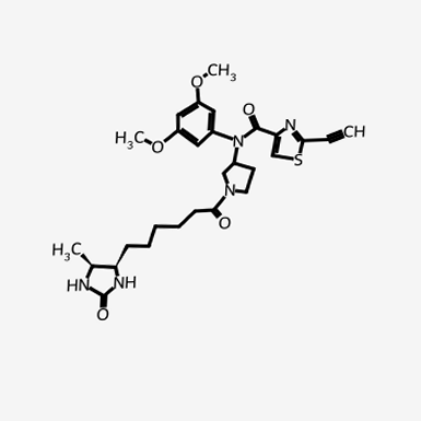 C#Cc1nc(C(=O)N(c2cc(OC)cc(OC)c2)C2CCN(C(=O)CCCCC[C@H]3NC(=O)N[C@H]3C)C2)cs1